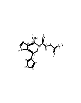 O=C(O)CNC(=O)N1CC(c2ccoc2)=c2sccc2=C1O